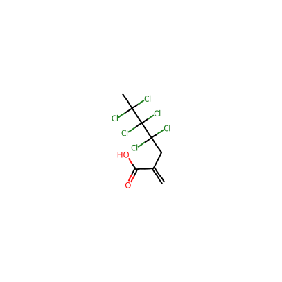 C=C(CC(Cl)(Cl)C(Cl)(Cl)C(C)(Cl)Cl)C(=O)O